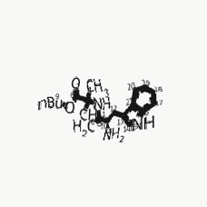 C=C(NC(C)(C)C(=O)OCCCC)[C@H](N)Cc1c[nH]c2ccccc12